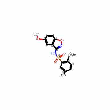 CCOc1ccc2onc(NS(=O)(=O)c3cc(CC)ccc3OC)c2c1